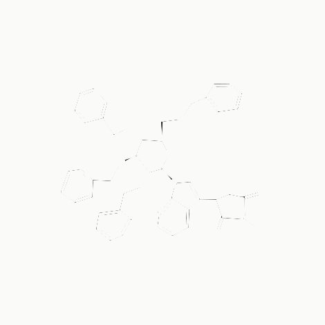 CN1C(=O)CC(c2cn([C@@H]3O[C@H](COCc4ccccc4)[C@@H](OCc4ccccc4)[C@H](OCc4ccccc4)[C@H]3OCc3ccccc3)c3ncccc23)C1=O